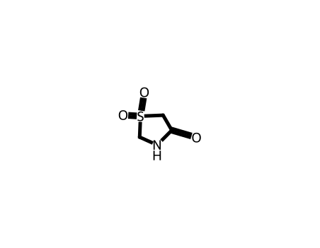 O=C1CS(=O)(=O)CN1